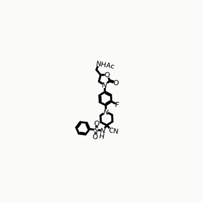 CC(=O)NCC1CN(c2ccc(N3CCC(C#N)(NS(=O)(=O)c4ccccc4)CC3)c(F)c2)C(=O)O1